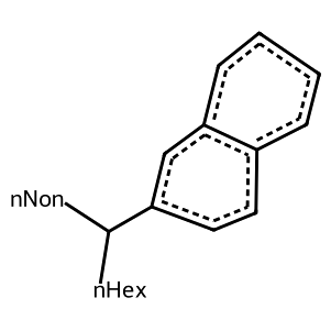 CCCCCCCCCC(CCCCCC)c1ccc2ccccc2c1